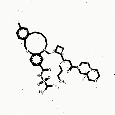 CCCC[C@@H](CC(=O)N1CCN2CCOC[C@H]2C1)[C@@H]1CC[C@H]1CN1CCCCc2cc(Cl)ccc2COc2ccc(C(=O)NS(=O)(=O)C(C)C)cc21